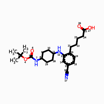 CC(C)(C)OC(=O)NC1CCC(Nc2cc(C#N)ccc2CCCCC(=O)O)CC1